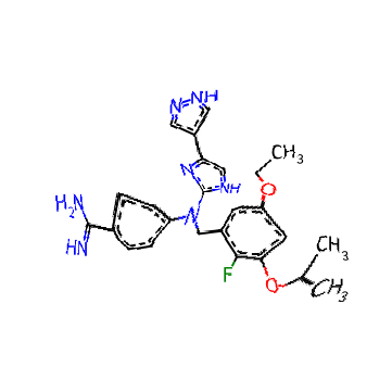 CCOc1cc(CN(c2ccc(C(=N)N)cc2)c2nc(-c3cn[nH]c3)c[nH]2)c(F)c(OC(C)C)c1